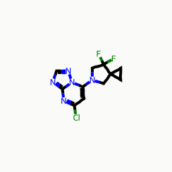 FC1(F)CN(c2cc(Cl)nc3ncnn23)CC12CC2